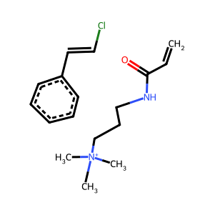 C=CC(=O)NCCC[N+](C)(C)C.ClC=Cc1ccccc1